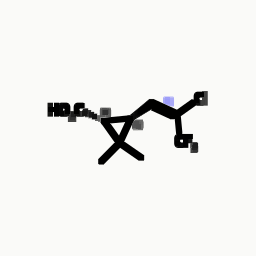 CC1(C)[C@H](/C=C(/Cl)C(F)(F)F)[C@H]1C(=O)O